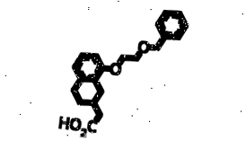 O=C(O)CC1CCc2cccc(OCCOCc3ccccc3)c2C1